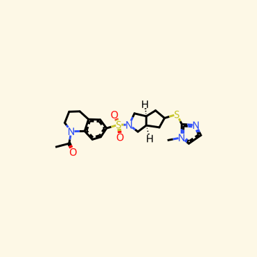 CC(=O)N1CCCc2cc(S(=O)(=O)N3C[C@H]4CC(Sc5nccn5C)C[C@H]4C3)ccc21